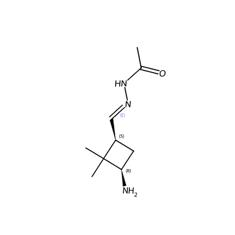 CC(=O)N/N=C/[C@H]1C[C@@H](N)C1(C)C